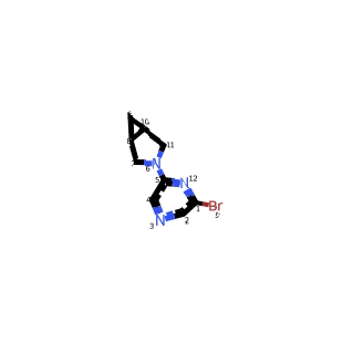 Brc1cncc(N2CC3CC3C2)n1